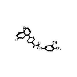 CC(C(=O)Nc1ccc(C(F)(F)F)c(C#N)c1)C1CCC(c2ccnc3ccc(F)cc23)CC1